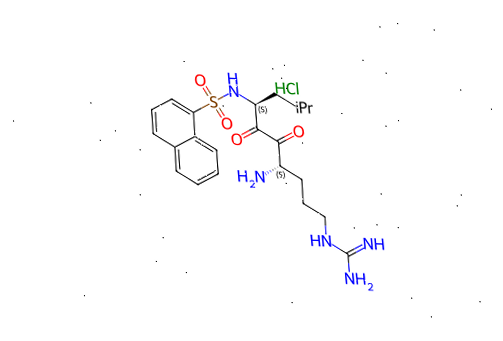 CC(C)C[C@H](NS(=O)(=O)c1cccc2ccccc12)C(=O)C(=O)[C@@H](N)CCCNC(=N)N.Cl